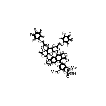 COc1cc(C2c3cc4c(cc3[C@@H](OC3OC5COC(C)OC5C(OC(=O)COc5c(F)c(F)c(F)c(F)c5F)C3OC(=O)COc3c(F)c(F)c(F)c(F)c3F)[C@H]3COC(=O)C23)OCO4)cc(OC)c1OP(=O)(O)O